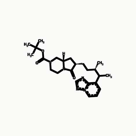 CC(c1cccn2ncnc12)[C@@H](C)CC[C@H]1C[C@H]2CN(C(=O)OC(C)(C)C)CCN2C1=O